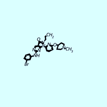 C=CCn1c(=O)c2cnc(Nc3cccc(Br)c3)nc2n1-c1cccc(OC2CCN(C)CC2)n1